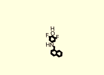 Oc1c(F)cc(NCc2cccc3ccccc23)cc1F